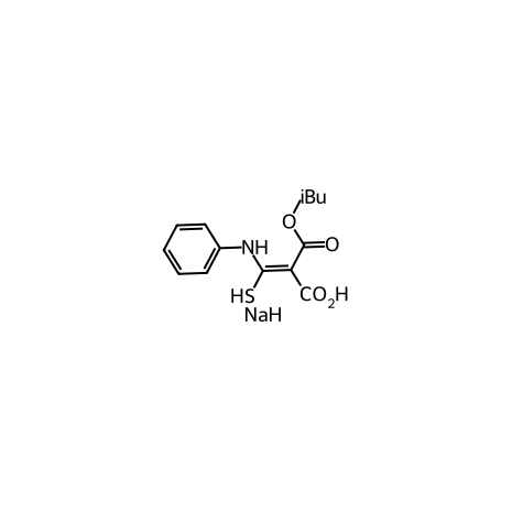 CCC(C)OC(=O)C(C(=O)O)=C(S)Nc1ccccc1.[NaH]